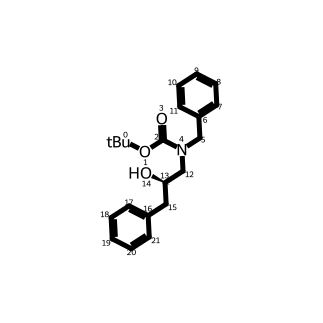 CC(C)(C)OC(=O)N(Cc1ccccc1)C[C@H](O)Cc1ccccc1